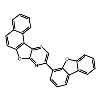 c1ccc2c(c1)ccc1oc3nc(-c4cccc5c4oc4ccccc45)cnc3c12